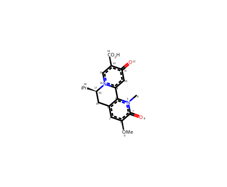 COc1cc2c(n(C)c1=O)-c1cc(=O)c(C(=O)O)cn1[C@H](C(C)C)C2